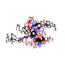 CN[C@@H]1[C@@H](O)[C@@H](O[C@@H]2[C@@H](O)[C@H](O[C@H]3OC(CNC(=O)O)=CC[C@H]3NC(=O)OC(C)(C)C)[C@@H](NC(=O)OC(C)(C)C)C[C@H]2NC(=O)[C@@H](O)CCNC(=O)OC(C)(C)C)OC[C@]1(C)O